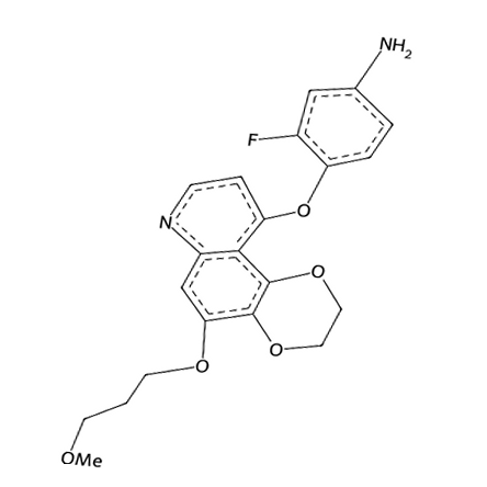 COCCCOc1cc2nccc(Oc3ccc(N)cc3F)c2c2c1OCCO2